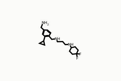 NCc1ccc(CNCCCNC2CCC(F)(F)CC2)c(C2CC2)c1